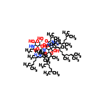 CC(=O)N[C@@H]1[C@@H](OC(C)CN(C(=O)C(C)(C)N)[C@@H](C(=O)NC(=O)[C@@H](N)CC(C)C)C(C(C=C(C)CCC=C(C)CCC=C(C)C)CC=C(C)CCC=C(C)CCC=C(C)C)C(C(C)=O)(C(=O)O)C(C=C(C)CCC=C(C)CCC=C(C)C)CC=C(C)CCC=C(C)CCC=C(C)C)[C@H](O)[C@@H](CO)O[C@@H]1O